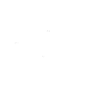 COc1cc(OC)c(-c2cccc(C(=O)O)c2)c(OC)c1